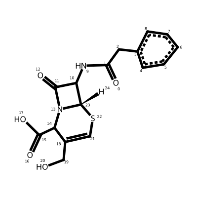 O=C(Cc1ccccc1)NC1C(=O)N2C(C(=O)O)C(CO)=CS[C@@H]12